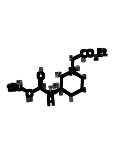 CCOC(=O)CN1CCC[C@@H](NC(=O)OC(C)(C)C)C1